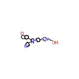 O=C1CCc2cc(-c3cn(-c4ccc(N5CCN(CCCO)CC5)cc4)nc3-c3ccncc3)ccc21